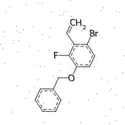 C=Cc1c(Br)ccc(OCc2ccccc2)c1F